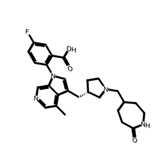 Cc1cncc2c1c(C[C@@H]1CCN(CC3CCNC(=O)CC3)C1)cn2-c1ccc(F)cc1C(=O)O